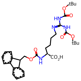 CC(C)(C)OC(=O)NC(=NCCCC[C@H](NC(=O)OCC1c2ccccc2-c2ccccc21)C(=O)O)NC(=O)OC(C)(C)C